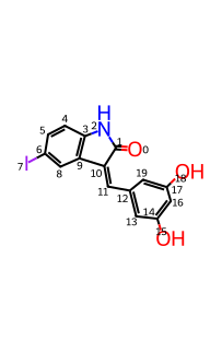 O=C1Nc2ccc(I)cc2C1=Cc1cc(O)cc(O)c1